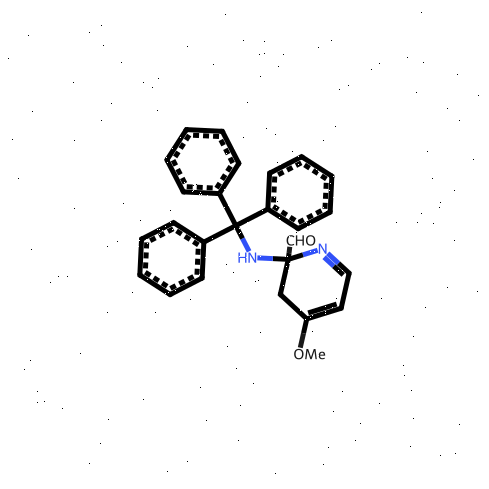 COC1=CC=NC(C=O)(NC(c2ccccc2)(c2ccccc2)c2ccccc2)C1